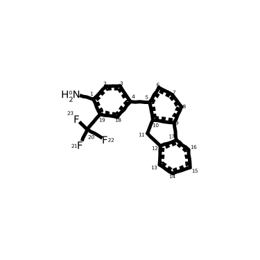 Nc1ccc(-c2cccc3c2Cc2ccccc2-3)cc1C(F)(F)F